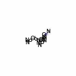 Cc1cc(Nc2ncnc3ccc4c(c23)OC[C@H]2CN4CCN2C(=O)/C=C/CN(C)C)ccc1Oc1ccc2c(c1)ncn2C